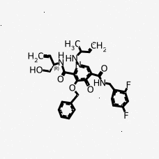 C=CC(C)Nn1cc(C(=O)NCc2ccc(F)cc2F)c(=O)c(OCc2ccccc2)c1C(=O)N[C@H](C=C)CO